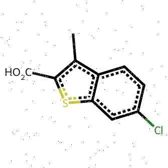 Cc1c(C(=O)O)sc2cc(Cl)ccc12